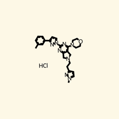 Cc1cccc(-c2ccn(-c3nc4c(c(N5CCOCC5)n3)CN(CCc3ccn(C)n3)C4)n2)c1.Cl